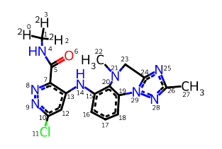 [2H]C([2H])([2H])NC(=O)c1nnc(Cl)cc1Nc1cccc2c1N(C)Cc1nc(C)nn1-2